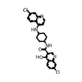 O=C(NC1CCC(Nc2ccnc3cc(Cl)ccc23)CC1)c1cnc2cc(Cl)ccc2c1O